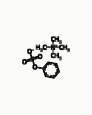 C[N+](C)(C)C.O=S(=O)([O-])Oc1ccccc1